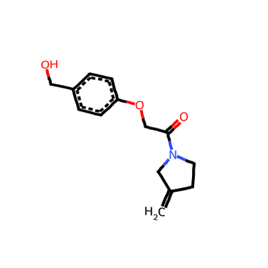 C=C1CCN(C(=O)COc2ccc(CO)cc2)C1